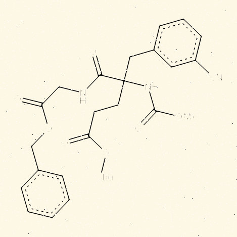 COC(=O)NC(CCC(=O)OC(C)(C)C)(Cc1cccc(C#N)c1)C(=O)NCC(=O)OCc1ccccc1